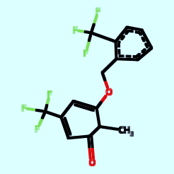 CC1C(=O)C=C(C(F)(F)F)C=C1OCc1ccccc1C(F)(F)F